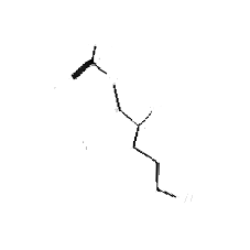 CCCCC(O)COC(C)=O.N